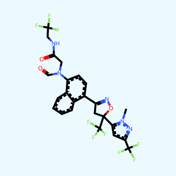 Cn1nc(C(F)(F)F)cc1C1(C(F)(F)F)CC(c2ccc(N(C=O)CC(=O)NCC(F)(F)F)c3ccccc23)=NO1